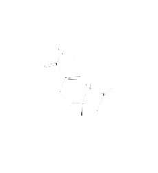 NC(=O)C1=CN2C(=O)C[C@@H]2SC1